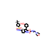 CC(C)(C)c1ccc(S(=O)(=O)Nc2ccc3[nH]c(OC(=O)NCCN4CCOCC4)c(-c4cccc(O)c4)c3c2)cc1